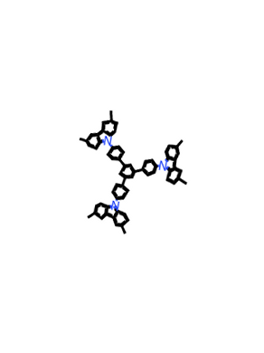 Cc1ccc2c(c1)c1cc(C)ccc1n2-c1ccc(-c2cc(-c3ccc(-n4c5ccc(C)cc5c5cc(C)ccc54)cc3)cc(-c3ccc(-n4c5ccc(C)cc5c5cc(C)ccc54)cc3)c2)cc1